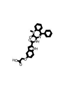 CN1C(=O)C(NC(=O)c2cc3cc(OCC(=O)O)ccc3[nH]2)N=C(c2ccccc2)c2ccccc21